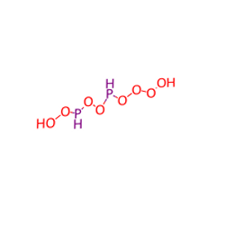 OOOOPOOPOO